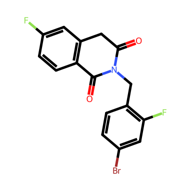 O=C1Cc2cc(F)ccc2C(=O)N1Cc1ccc(Br)cc1F